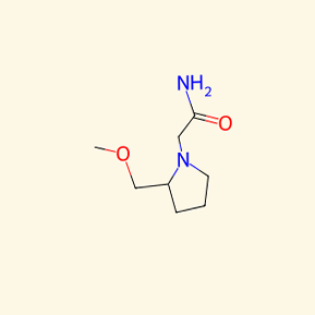 COCC1CCCN1CC(N)=O